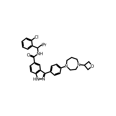 CC(C)C(NC(=O)c1ccc2[nH]nc(-c3ccc(N4CCCN(C5COC5)CC4)cc3)c2c1)c1ccccc1Cl